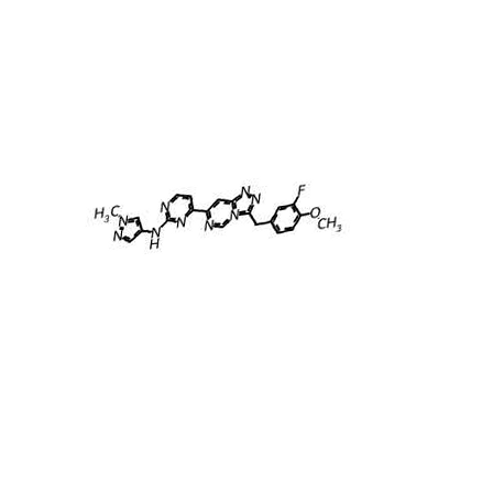 COc1ccc(Cc2nnc3cc(-c4ccnc(Nc5cnn(C)c5)n4)ncn23)cc1F